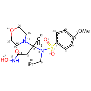 COc1ccc(S(=O)(=O)N(CC(C)C)C(C)(CC(=O)NO)N2CCOCC2)cc1